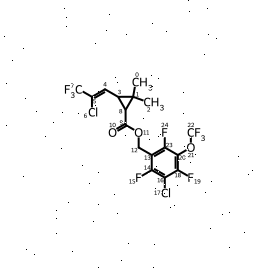 CC1(C)C(C=C(Cl)C(F)(F)F)C1C(=O)OCc1c(F)c(Cl)c(F)c(OC(F)(F)F)c1F